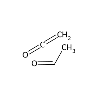 C=C=O.CC=O